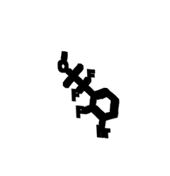 COC(C)(C)C(F)(F)c1cccc(Br)c1F